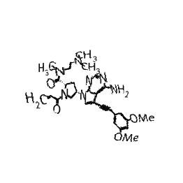 C=CC(=O)N1C[C@@H](n2cc(C#Cc3cc(OC)cc(OC)c3)c3c(N)ncnc32)C[C@H]1C(=O)N(C)CCN(C)C